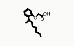 CCCCCCC(C)c1ccccc1OCC(=O)O